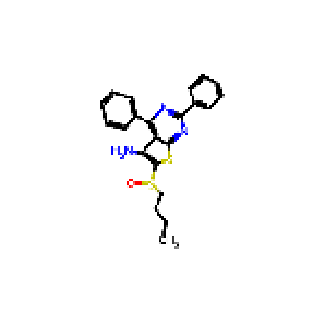 CCCC[S+]([O-])c1sc2nc(-c3ccccc3)nc(-c3ccccc3)c2c1N